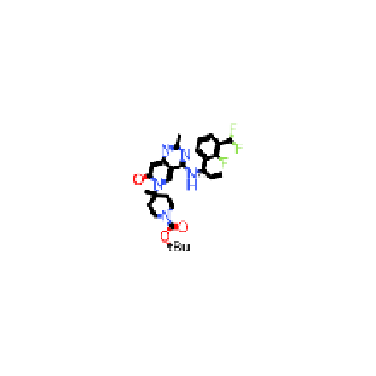 C=C[C@@H](Nc1nc(C)nc2cc(=O)n(C3(C)CCN(C(=O)OC(C)(C)C)CC3)cc12)c1cccc(C(F)F)c1F